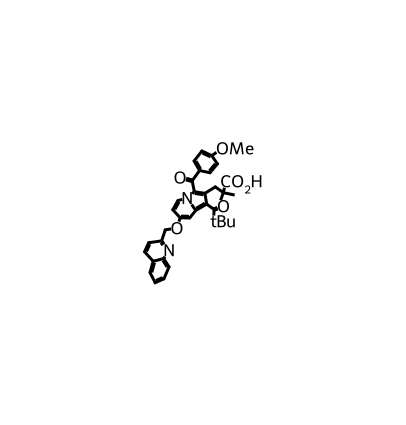 COc1ccc(C(=O)c2c(CC(C)(C)C(=O)O)c(C(=O)C(C)(C)C)c3cc(OCc4ccc5ccccc5n4)ccn23)cc1